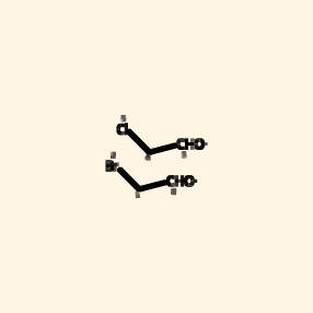 O=[C]CBr.O=[C]CCl